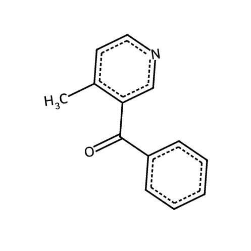 Cc1ccncc1C(=O)c1ccccc1